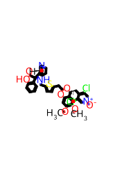 COc1ccc([C@H](Cc2c(Cl)c[n+]([O-])cc2Cl)OC(=O)Cc2ccc(CNC(C(=O)O)(c3ccccc3)[C@H]3CN4CCC3CC4)s2)cc1OC